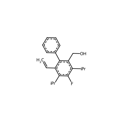 C=Cc1c(-c2ccccc2)c(CO)c(C(C)C)c(F)c1C(C)C